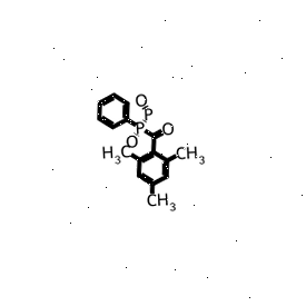 Cc1cc(C)c(C(=O)P(=O)(P=O)c2ccccc2)c(C)c1